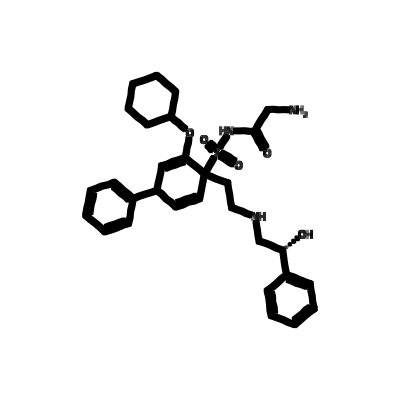 NCC(=O)NS(=O)(=O)C1(CCNC[C@H](O)c2ccccc2)C=CC(c2ccccc2)C=C1OC1CCCCC1